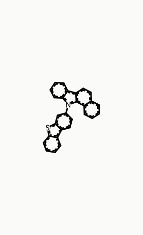 c1ccc2c(c1)ccc1c3ccccc3n(-c3ccc4c(c3)sc3ccccc34)c21